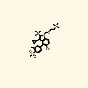 Cc1cc(-c2c(C#N)ccc3c2c(C2CC2)c([Si](C)(C)C)n3COCC[Si](C)(C)C)ccc1S(C)(=O)=O